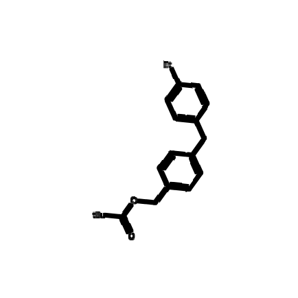 CCc1ccc(Cc2[c]cc(COC(=O)C(C)(C)C)cc2)cc1